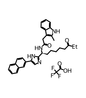 CCC(=O)CCCCC[C@H](NC(=O)Cc1c(C)[nH]c2ccccc12)c1ncc(-c2ccc3ccccc3c2)[nH]1.O=C(O)C(F)(F)F